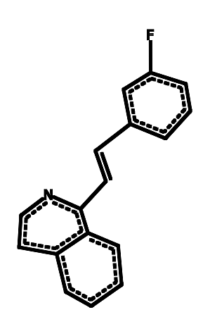 Fc1cccc(/C=C/c2nccc3ccccc23)c1